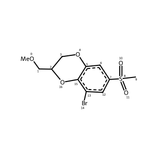 COCC1COc2cc(S(C)(=O)=O)cc(Br)c2O1